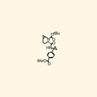 COC(=O)c1ccc(C2(NC(=O)[C@H]3CCC4CC4N3C(=O)OC(C)(C)C)CC2)cc1